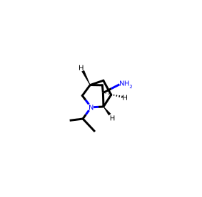 CC(C)N1C[C@@H]2CC[C@H]1[C@H](N)C2